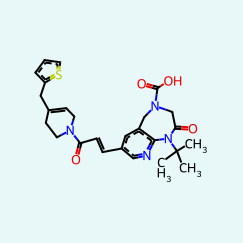 CC(C)(C)N1C(=O)CN(C(=O)O)Cc2cc(C=CC(=O)N3CC=C(Cc4cccs4)CC3)cnc21